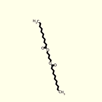 CCCCCCCCCCC(=O)OCCCCOC(=O)CCCCCCCCCC